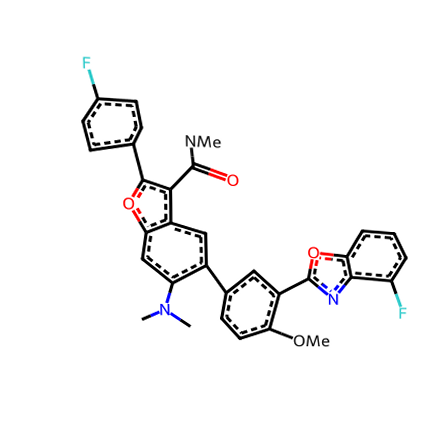 CNC(=O)c1c(-c2ccc(F)cc2)oc2cc(N(C)C)c(-c3ccc(OC)c(-c4nc5c(F)cccc5o4)c3)cc12